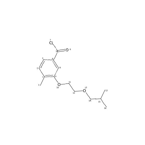 Cc1ccc(C(=O)Cl)cc1OCCOCC(C)C